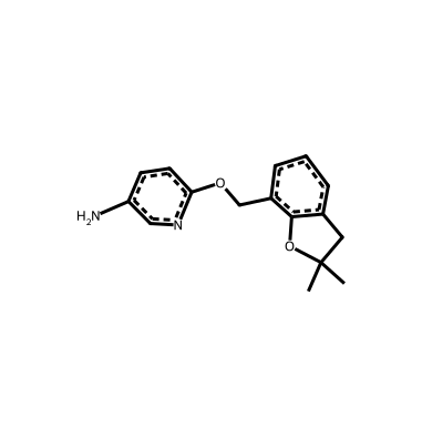 CC1(C)Cc2cccc(COc3ccc(N)cn3)c2O1